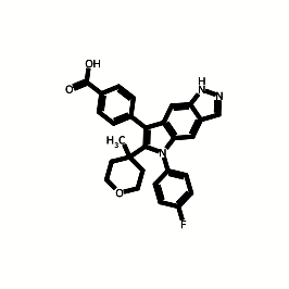 CC1(c2c(-c3ccc(C(=O)O)cc3)c3cc4[nH]ncc4cc3n2-c2ccc(F)cc2)CCOCC1